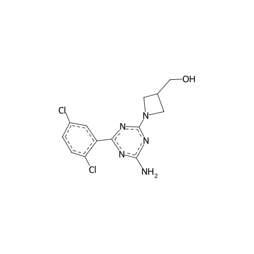 Nc1nc(-c2cc(Cl)ccc2Cl)nc(N2CC(CO)C2)n1